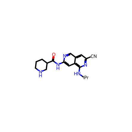 CC(C)Nc1nc(C#N)cc2cnc(NC(=O)C3CCCNC3)cc12